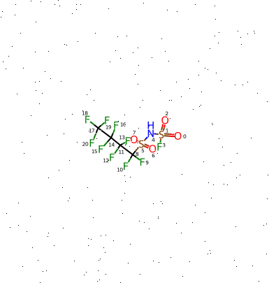 O=S(=O)(F)NS(=O)(=O)C(F)(F)C(F)(F)C(F)(F)C(F)(F)F